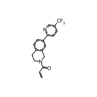 C=CC(=O)N1CCc2ccc(-c3ccc(C(F)(F)F)cn3)cc2C1